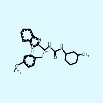 COc1ccc(C[C@@H](NC(=O)NC2CCCC(C)C2)c2nc3ccccc3[nH]2)cc1